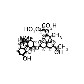 CC[C@]12c3c4ccc(O)c3O[C@H]1C(OC(=O)C[C@H](CC(=O)[C@H](C)O)C(=O)O[C@@H](C)C(=O)O[C@H](CC(=O)O)C(=O)O)=CC[C@@]2(O)[C@H](NC)C4